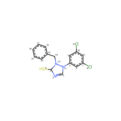 SC1N=CN(c2cc(Cl)cc(Cl)c2)N1Cc1ccccc1